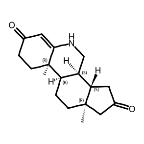 C[C@]12CC[C@@H]3[C@@H](CNC4=CC(=O)CC[C@@]43C)[C@@H]1CC(=O)C2